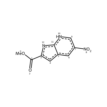 COC(=O)c1cc2cc([N+](=O)[O-])c[nH]c-2n1